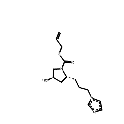 C=CCOC(=O)N1C[C@H](O)C[C@H]1CCCn1ccnc1